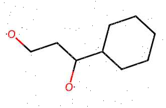 [O]CCC([O])C1CCCCC1